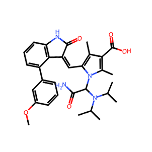 COc1cccc(-c2cccc3c2C(=Cc2c(C)c(C(=O)O)c(C)n2C(C(N)=O)N(C(C)C)C(C)C)C(=O)N3)c1